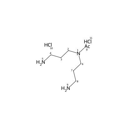 CC(=O)N(CCCN)CCCN.Cl.Cl